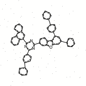 c1ccc(-c2ccc(-c3nc(-c4ccc5c(c4)oc4cc(-c6ccccc6)cc(-c6ccc(-c7ccccc7)cc6)c45)nc(-c4cc5ccccc5c5ccccc45)n3)cc2)cc1